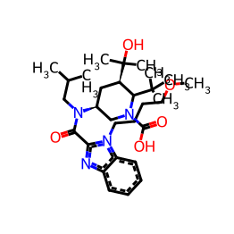 COCCCCn1c(C(=O)N(CC(C)C)[C@H]2C[C@@H](C(C)(C)O)C(C(C)(C)C)N(C(=O)O)C2)nc2ccccc21